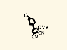 COn1c(-c2ccc(Cl)cc2)cc(C#N)c1C#N